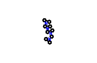 c1cc(-n2c3ccccc3c3ccccc32)cc(-n2c3ccccc3c3c(-n4c5ccccc5c5c(-n6c7ccccc7c7ccccc76)cccc54)cccc32)c1